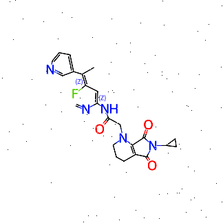 C=N/C(=C\C(F)=C(/C)c1cccnc1)NC(=O)CN1CCCC2=C1C(=O)N(C1CC1)C2=O